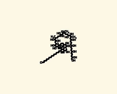 C=C(CC[C@H](O)[C@H]1O[C@H](C[C@@H](O)[C@H](O)[C@H](C)CCC[C@@H](O)[C@H](O)[C@H](O)[C@@H](C)CC[C@@H](O)[C@H](O)[C@H](C)C[C@@H](O)CCC[C@@H](O)CCC[C@@H](O)/C=C/C[C@@H](O)CO)[C@@H](O)[C@@H](O)[C@@H]1O)[C@H](O)[C@H](O)[C@@H]1C[C@H](O)[C@H](O)[C@@H]([C@H](O)[C@@H](O)/C=C/CCCCCCCC/C=C/C=C/Cl)O1